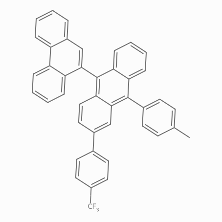 Cc1ccc(-c2c3ccccc3c(-c3cc4ccccc4c4ccccc34)c3ccc(-c4ccc(C(F)(F)F)cc4)cc23)cc1